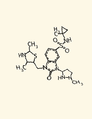 CC1NC(C)C(Cn2c(=O)n(C3CCN(C)N3)c3cc(S(=O)(=O)NC4(C)CC4)ccc32)S1